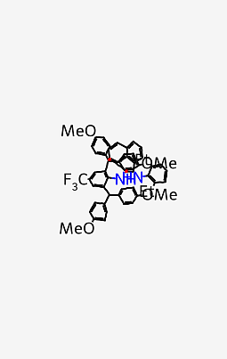 CCc1cccc(CC)c1NC1c2cccc3cccc(c23)C1Nc1c(C(c2ccc(OC)cc2)c2ccc(OC)cc2)cc(C(F)(F)F)cc1C(c1ccc(OC)cc1)c1ccc(OC)cc1